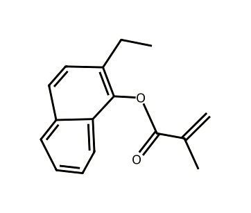 C=C(C)C(=O)Oc1c(CC)ccc2ccccc12